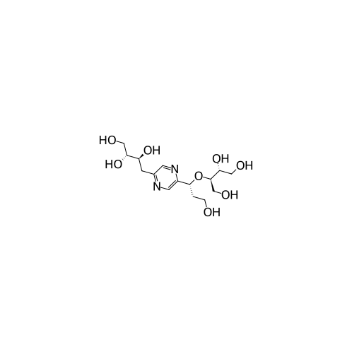 OCC[C@@H](O[C@H](CO)[C@H](O)CO)c1cnc(C[C@H](O)[C@H](O)CO)cn1